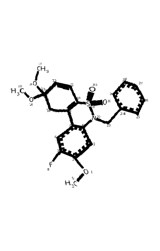 COc1cc2c(cc1F)C1=C(C=CC(OC)(OC)C1)S(=O)(=O)N2Cc1ccccc1